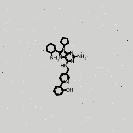 Nc1nc(NCc2ccc(-c3ccccc3O)nc2)c2nc(C3CCCCC3N)n(C3CCCC3)c2n1